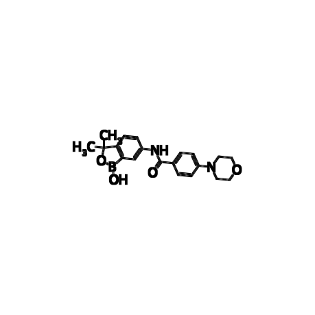 CC1(C)OB(O)c2cc(NC(=O)c3ccc(N4CCOCC4)cc3)ccc21